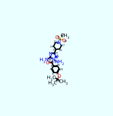 CC(C)(C)Oc1ccc(C(=O)[N+]2(N)N=C(C3CCN(S(C)(=O)=O)CC3)N=C2N)cc1